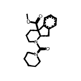 COC(=O)C12CCCN(C(=O)N3CCCCC3)C1Cc1ccccc12